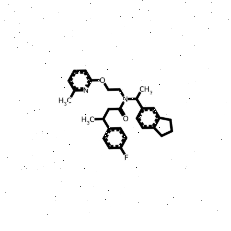 Cc1cccc(OCCN(C(=O)CC(C)c2ccc(F)cc2)C(C)c2ccc3c(c2)CCC3)n1